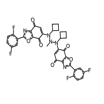 CN(N(C1=CC(=O)c2nc(-c3cc(F)ccc3F)oc2C1=O)C1CCC1)N(C1=CC(=O)c2nc(-c3cc(F)ccc3F)oc2C1=O)C1CCC1